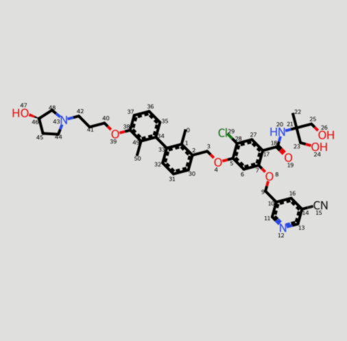 Cc1c(COc2cc(OCc3cncc(C#N)c3)c(C(=O)NC(C)(CO)CO)cc2Cl)cccc1-c1cccc(OCCCN2CC[C@@H](O)C2)c1C